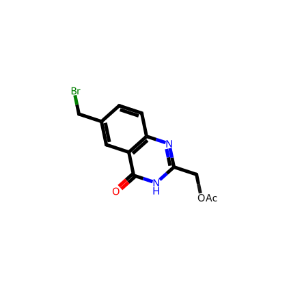 CC(=O)OCc1nc2ccc(CBr)cc2c(=O)[nH]1